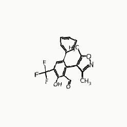 Cc1noc(C)c1-c1c(-c2ccccc2)cc(C(F)(F)F)c(O)c1C=O